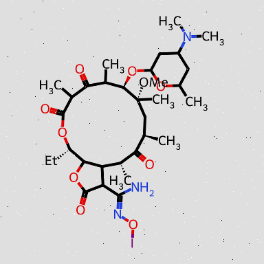 CC[C@@H]1OC(=O)C(C)C(=O)C(C)[C@@H](OC2CC(N(C)C)CC(C)O2)[C@](C)(OC)C[C@@H](C)C(=O)[C@H](C)C2C(/C(N)=N/OI)C(=O)OC21